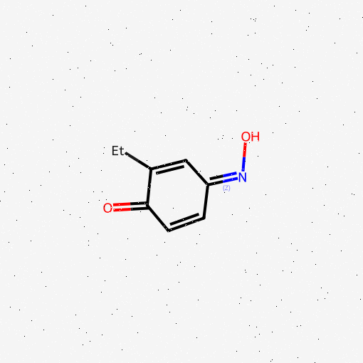 CCC1=C/C(=N\O)C=CC1=O